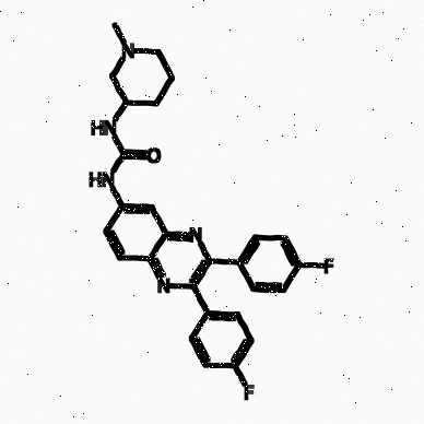 CN1CCCC(NC(=O)Nc2ccc3nc(-c4ccc(F)cc4)c(-c4ccc(F)cc4)nc3c2)C1